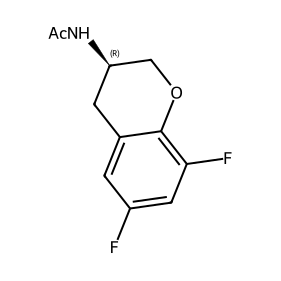 CC(=O)N[C@H]1COc2c(F)cc(F)cc2C1